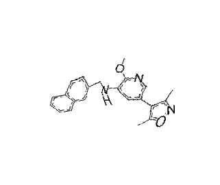 COc1ncc(-c2c(C)noc2C)cc1NCc1ccc2ccccc2c1